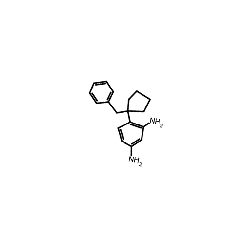 Nc1ccc(C2(Cc3ccccc3)CCCC2)c(N)c1